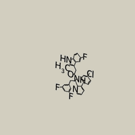 Cc1[nH]c2ccc(F)cc2c1CC(=O)NC(Cc1cc(F)cc(F)c1)c1ncccc1-c1ccc(Cl)cc1